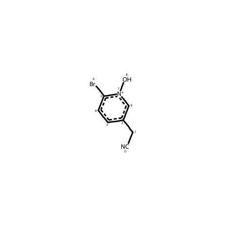 N#CCc1ccc(Br)[n+](O)c1